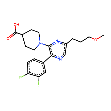 COCCCc1cnc(-c2ccc(F)c(F)c2)c(N2CCC(C(=O)O)CC2)n1